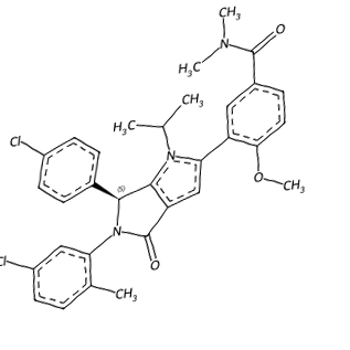 COc1ccc(C(=O)N(C)C)cc1-c1cc2c(n1C(C)C)[C@H](c1ccc(Cl)cc1)N(c1cc(Cl)ccc1C)C2=O